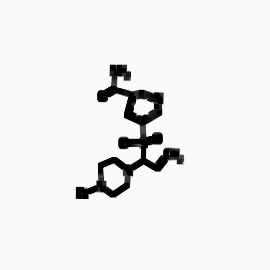 C=CC(N1CCN(CC)CC1)S(=O)(=O)c1cncc(C(N)=O)c1